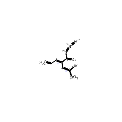 C=C/C=C(\C=C(/Br)[N+](=O)[O-])C(=O)N=[N+]=[N-]